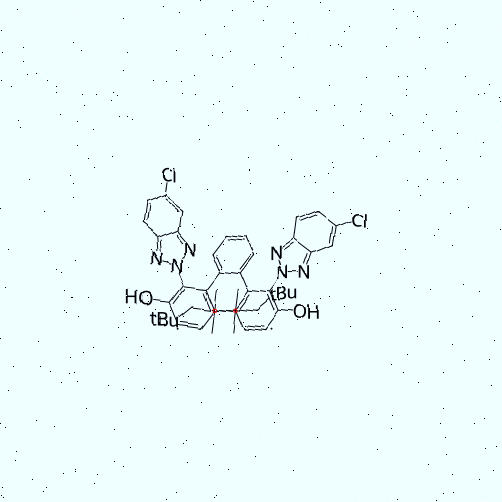 CC(C)(C)CC(C)(C)c1c[c]c(O)c(-n2nc3ccc(Cl)cc3n2)c1-c1ccccc1-c1c(C(C)(C)CC(C)(C)C)c[c]c(O)c1-n1nc2ccc(Cl)cc2n1